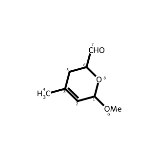 COC1C=C(C)CC(C=O)O1